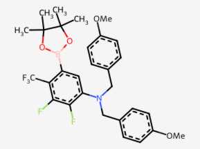 COc1ccc(CN(Cc2ccc(OC)cc2)c2cc(B3OC(C)(C)C(C)(C)O3)c(C(F)(F)F)c(F)c2F)cc1